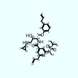 C=CCc1cccc(OC[C@H](NC(=O)c2cc(CC=C)nc(N(C)S(=O)(=O)C(C)C)c2)[C@H](O)CNC2CC2)c1